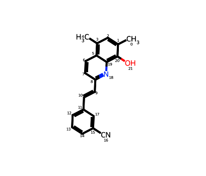 Cc1cc(C)c2ccc(C=Cc3cccc(C#N)c3)nc2c1O